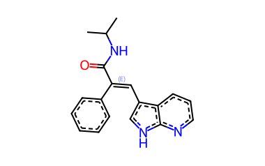 CC(C)NC(=O)/C(=C/c1c[nH]c2ncccc12)c1ccccc1